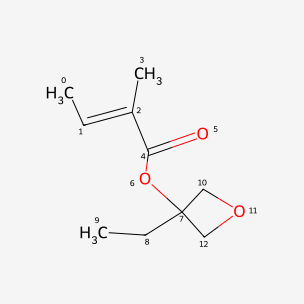 CC=C(C)C(=O)OC1(CC)COC1